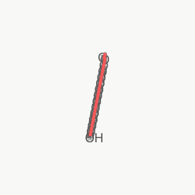 C=CC(=O)OCCCOCCCOCCCOCCCOCCCOCCCOCCCOCCCOCCCOCCCOCCCOCCCOCCCO